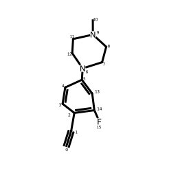 C#Cc1ccc(N2CCN(C)CC2)cc1F